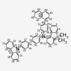 CC1(C)c2ccccc2-c2c(N(c3ccc(-c4ccc(-n5c6ccccc6c6ccccc65)cc4)cc3)c3ccc(-c4cccc5c4CCC=C5)cc3)cccc21